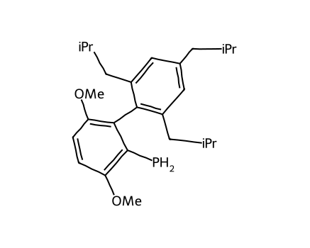 COc1ccc(OC)c(-c2c(CC(C)C)cc(CC(C)C)cc2CC(C)C)c1P